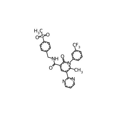 Cc1c(-c2ncccn2)cc(C(=O)NCc2ccc(S(C)(=O)=O)cc2)c(=O)n1-c1cccc(C(F)(F)F)c1